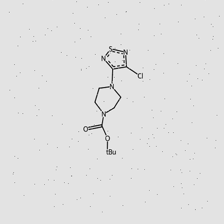 CC(C)(C)OC(=O)N1CCN(c2nsnc2Cl)CC1